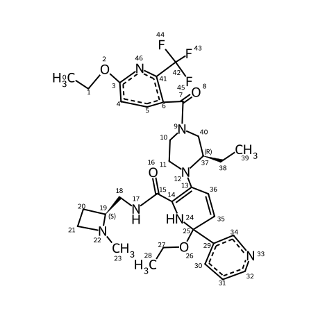 CCOc1ccc(C(=O)N2CCN(C3=C(C(=O)NC[C@@H]4CCN4C)NC(OCC)(c4cccnc4)C=C3)[C@H](CC)C2)c(C(F)(F)F)n1